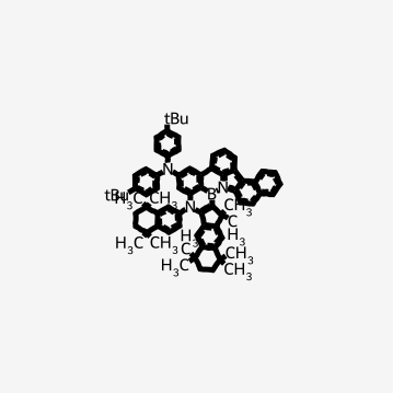 CC(C)(C)c1ccc(N(c2ccc(C(C)(C)C)cc2)c2cc3c4c(c2)N(c2ccc5c(c2)C(C)(C)CCC5(C)C)C2=C(B4n4c5ccc6ccccc6c5c5cccc-3c54)C(C)(C)c3cc4c(cc32)C(C)(C)CCC4(C)C)cc1